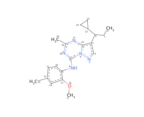 CCC(c1cnn2c(Nc3ccc(C)cc3OC)nc(C)nc12)C1CC1